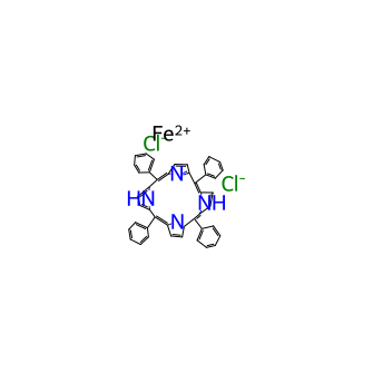 C1=Cc2nc1c(-c1ccccc1)c1ccc([nH]1)c(-c1ccccc1)c1nc(c(-c3ccccc3)c3ccc([nH]3)c2-c2ccccc2)C=C1.[Cl-].[Cl-].[Fe+2]